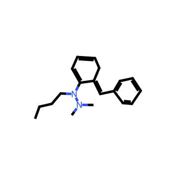 CCCCN(C1=CC=CCC1=Cc1ccccc1)N(C)C